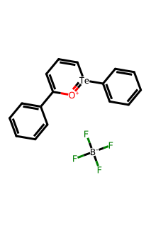 C1=C[Te](c2ccccc2)=[O+]C(c2ccccc2)=C1.F[B-](F)(F)F